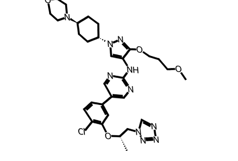 COCCCOc1nn([C@H]2CC[C@H](N3CCOCC3)CC2)cc1Nc1ncc(-c2ccc(Cl)c(O[C@@H](C)Cn3cnnn3)c2)cn1